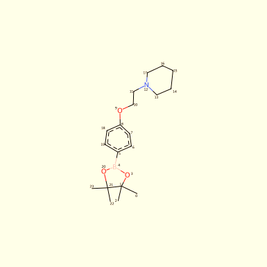 CC1(C)OB(c2ccc(OCCN3CCCCC3)cc2)OC1(C)C